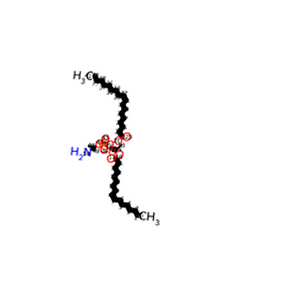 CCCCCCC/C=C\CCCCCCCC(=O)O[C@H](COC(=O)CCCCCCC/C=C\CCCCCCCCC)COP(=O)(O)OCCN